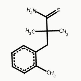 Cc1ccccc1CC(C)(C)C(N)=S